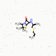 C=CCSCC(=C)NC1C(=O)N2C1SC(C)(C)C2C